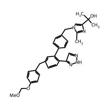 COCOc1ccc(Cc2ccc(-c3cn[nH]n3)c(-c3ccc(Cn4cc(C(C)(C)O)nc4C)cc3)c2)cc1